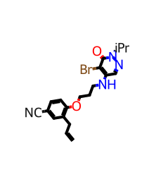 C=CCc1cc(C#N)ccc1OCCCNc1cnn(C(C)C)c(=O)c1Br